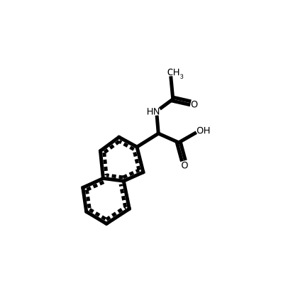 CC(=O)NC(C(=O)O)c1ccc2ccccc2c1